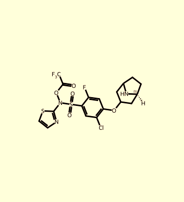 O=C(ON(c1nccs1)S(=O)(=O)c1cc(Cl)c(OC2CC3CC[C@@H](C2)N3)cc1F)C(F)(F)F